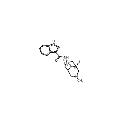 CN1CC2C[C@H](NC(=O)c3n[nH]c4ccccc34)C[C@H](C1)N2C